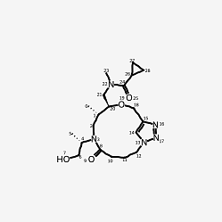 C[C@H]1CN([C@@H](C)CO)C(=O)CCCn2cc(nn2)CO[C@@H]1CN(C)C(=O)C1CC1